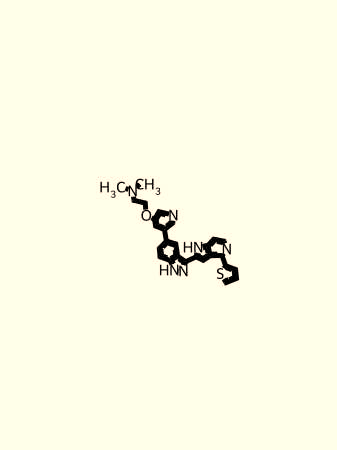 CN(C)CCOc1cncc(-c2ccc3[nH]nc(-c4cc5c(-c6cccs6)nccc5[nH]4)c3c2)c1